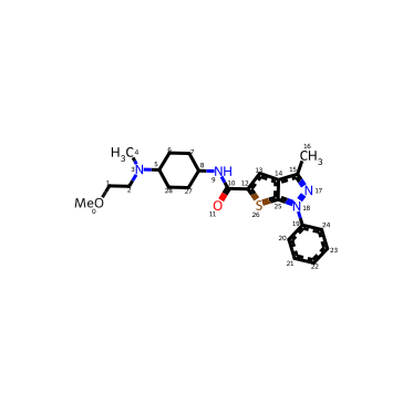 COCCN(C)C1CCC(NC(=O)c2cc3c(C)nn(-c4ccccc4)c3s2)CC1